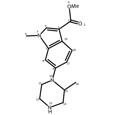 COC(=O)c1cn(C)c2cc(N3CCNCC3C)ccc12